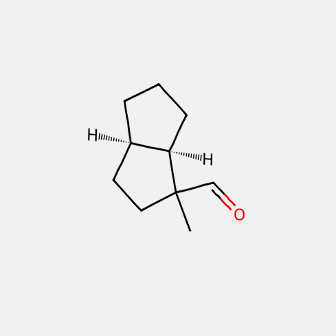 CC1(C=O)CC[C@H]2CCC[C@H]21